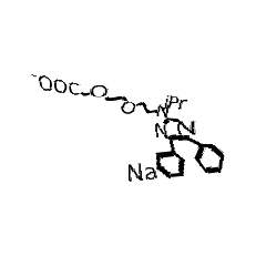 CC(C)N(CCOCCOCC(=O)[O-])c1cnc(-c2ccccc2)c(-c2ccccc2)n1.[Na+]